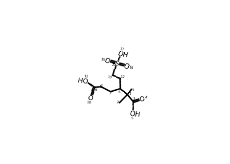 CC(C)(C(=O)O)C(CCC(=O)O)CCS(=O)(=O)O